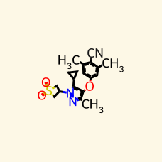 Cc1cc(Oc2c(C)nn(C3CS(=O)(=O)C3)c2C2CC2)cc(C)c1C#N